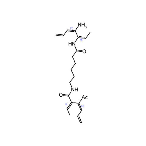 C=C/C=C(N)\C(=C/C)NC(=O)CCCCCNC(=O)C(=C/C)/C(=C\C=C)C(C)=O